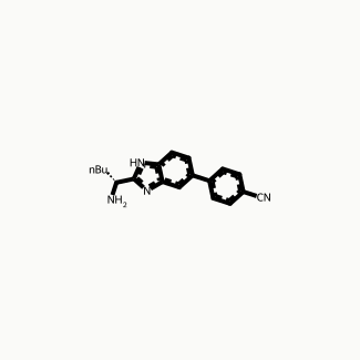 CCCC[C@@H](N)c1nc2cc(-c3ccc(C#N)cc3)ccc2[nH]1